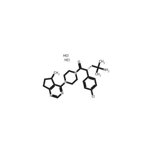 CC1CCc2ncnc(N3CCN(C(=O)[C@H](CC(C)(C)N)c4ccc(Cl)cc4)CC3)c21.Cl.Cl